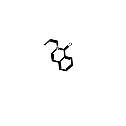 C/C=C\n1ccc2ccccc2c1=O